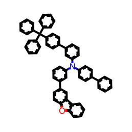 c1ccc(-c2ccc(N(c3cccc(-c4ccc(C(c5ccccc5)(c5ccccc5)c5ccccc5)cc4)c3)c3cccc(-c4ccc5oc6ccccc6c5c4)c3)cc2)cc1